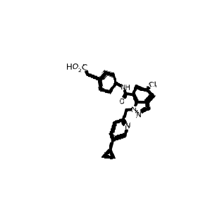 O=C(O)CC1CCC(NC(=O)c2cc(Cl)cc3cnn(Cc4ccc(C5CC5)cn4)c23)CC1